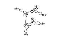 C=CC(=O)OC1(c2ccc(C#CC3(OC(=O)CCCCCCC(=O)OC4(c5ccc(C6(OC(=O)C=C)CCC(C7CCC(CCC)CC7)CC6)cc5)CCC(C5CCC(CCC)CC5)CC4)CCC(C4CCC(CCC)CC4)CC3)cc2)CCC(C2CCC(CCC)CC2)CC1